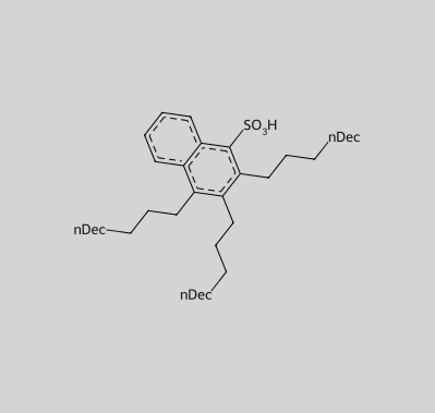 CCCCCCCCCCCCCc1c(CCCCCCCCCCCCC)c(S(=O)(=O)O)c2ccccc2c1CCCCCCCCCCCCC